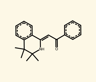 CC1(C)NC(=CC(=O)c2ccccc2)c2ccccc2C1(C)C